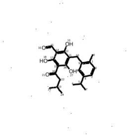 Cc1ccc(C(C)C)cc1Cc1c(O)c(C=O)c(O)c(C(=O)CC(C)C)c1O